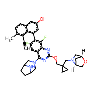 C#Cc1c(C)ccc2cc(O)cc(-c3c(F)cc4c(N5CC6CCC(C5)N6)nc(OCC5(CN6C[C@@H]7C[C@H]6CO7)CC5)nc4c3F)c12